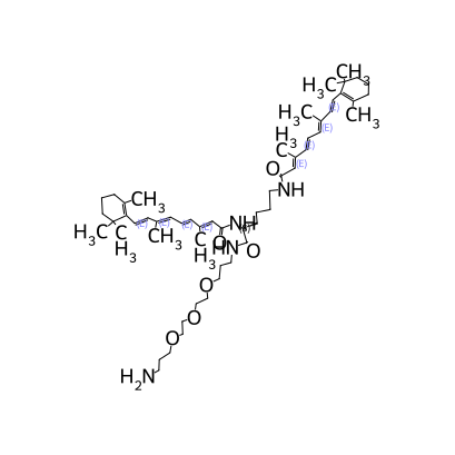 CC1=C(/C=C/C(C)=C/C=C/C(C)=C/C(=O)NCCCC[C@H](NC(=O)/C=C(C)/C=C/C=C(C)/C=C/C2=C(C)CCCC2(C)C)C(=O)NCCCOCCOCCOCCCN)C(C)(C)CCC1